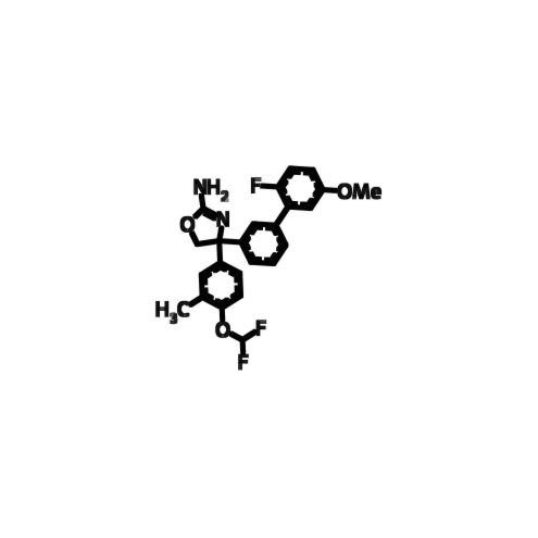 COc1ccc(F)c(-c2cccc(C3(c4ccc(OC(F)F)c(C)c4)COC(N)=N3)c2)c1